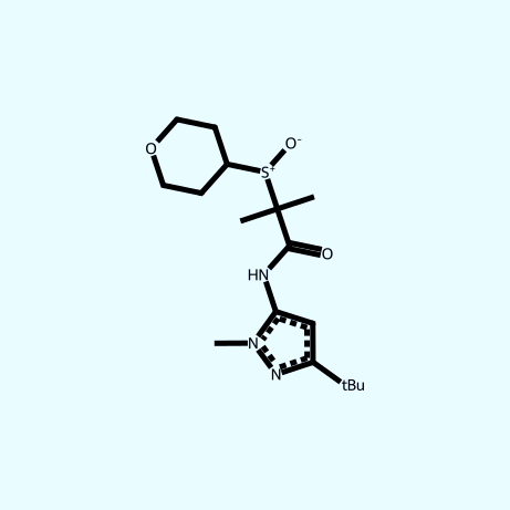 Cn1nc(C(C)(C)C)cc1NC(=O)C(C)(C)[S+]([O-])C1CCOCC1